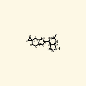 Cc1nc(-c2cc3n(n2)CC2(CC3)CC2)c2cn[nH]c2n1